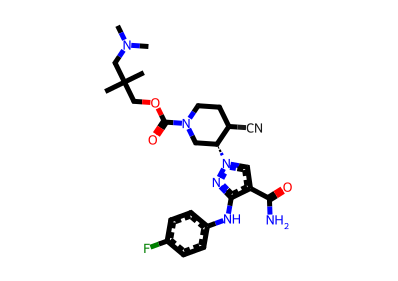 CN(C)CC(C)(C)COC(=O)N1CCC(C#N)[C@H](n2cc(C(N)=O)c(Nc3ccc(F)cc3)n2)C1